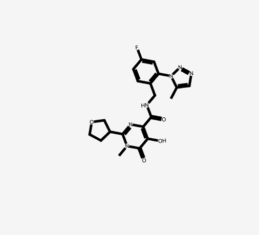 Cc1cnnn1-c1cc(F)ccc1CNC(=O)c1nc(C2CCOC2)n(C)c(=O)c1O